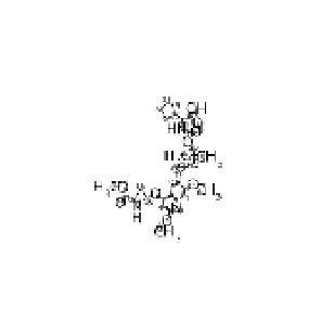 CCOc1cc(O[C@H]2CN[C@H](C(=O)OC)C2)c2cc(C3CC3CC(C)(C)COC(=O)N[C@H](C(=O)O)C3CCCC3)c(OC)cc2n1